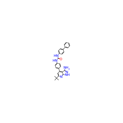 CC(C)(C)c1cc(-c2ccc(NC(=O)Nc3ccc(-c4ccccc4)cc3)cc2)c2c(N)n[nH]c2n1